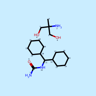 CC(N)(CO)CO.NC(=O)NC(C1CCCCC1)C1CCCCC1